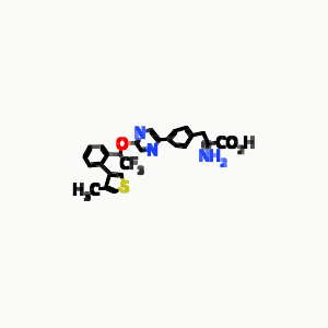 Cc1cscc1-c1ccccc1C(Oc1cnc(-c2ccc(C[C@H](N)C(=O)O)cc2)cn1)C(F)(F)F